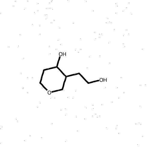 OCCC1COCCC1O